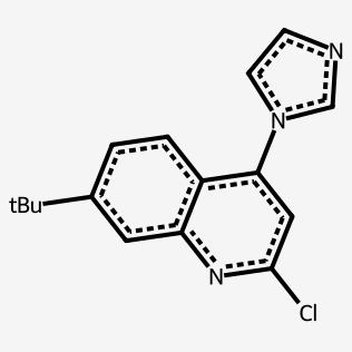 CC(C)(C)c1ccc2c(-n3ccnc3)cc(Cl)nc2c1